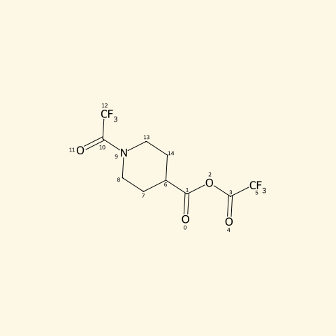 O=C(OC(=O)C(F)(F)F)C1CCN(C(=O)C(F)(F)F)CC1